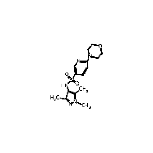 Cc1nn(C)c(C)c1NS(=O)(=O)c1ccc(N2CCOCC2)nc1